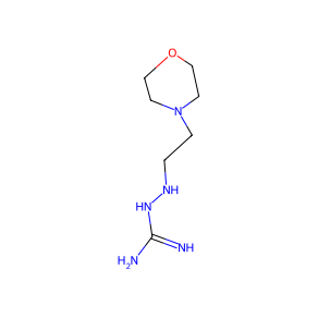 N=C(N)NNCCN1CCOCC1